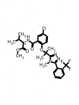 COC(=O)[C@@H](NC(=O)c1cc(Cl)ccc1OC(C)(C)c1nnc(-c2ccccc2C(F)(F)F)n1C)C(C)C